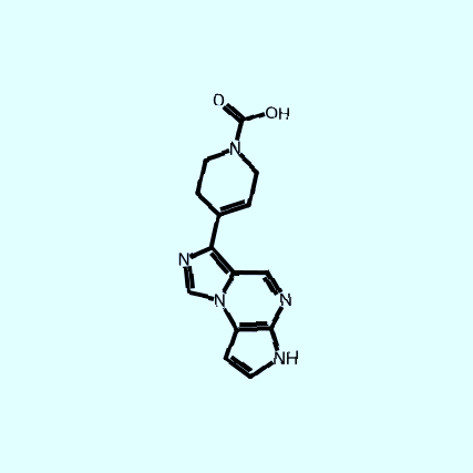 O=C(O)N1CC=C(c2ncn3c2cnc2[nH]ccc23)CC1